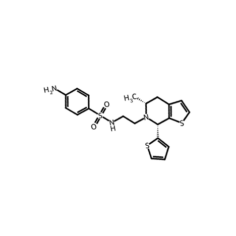 C[C@@H]1Cc2ccsc2[C@H](c2cccs2)N1CCNS(=O)(=O)c1ccc(N)cc1